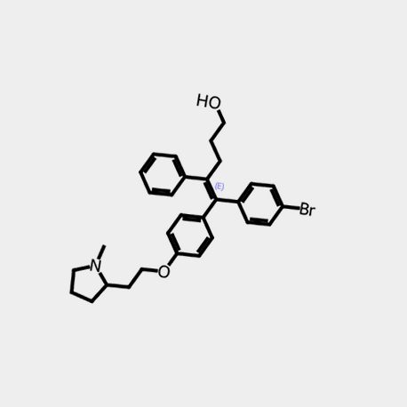 CN1CCCC1CCOc1ccc(/C(=C(/CCCO)c2ccccc2)c2ccc(Br)cc2)cc1